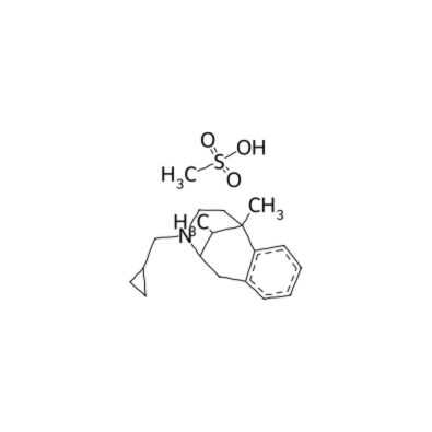 CC1C2Cc3ccccc3C1(C)CCN2CC1CC1.CS(=O)(=O)O